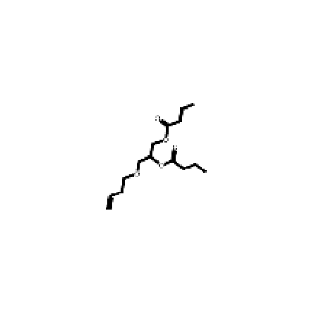 C=CCCOCC(COC(=O)CCC)OC(=O)CCC